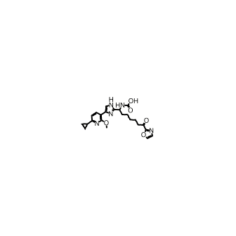 COc1nc(C2CC2)ccc1-c1c[nH]c(C(CCCCCC(=O)c2ncco2)NC(=O)O)n1